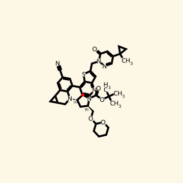 CC(C)(C)OC(=O)N1C[C@@H](N2CC3CC3c3cc(C#N)cc(-c4ccnc5cc(Cn6ncc(C7(C)CC7)cc6=O)sc45)c32)C[C@@H]1COC1CCCCO1